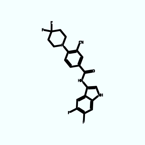 N#Cc1cc(C(=O)Nc2c[nH]c3cc(F)c(F)cc23)ccc1N1CCC(F)(F)CC1